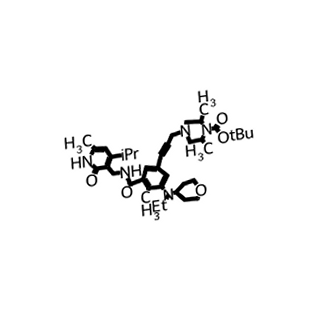 CCN(c1cc(C#CCN2CC(C)N(C(=O)OC(C)(C)C)C(C)C2)cc(C(=O)NCc2c(C(C)C)cc(C)[nH]c2=O)c1C)C1CCOCC1